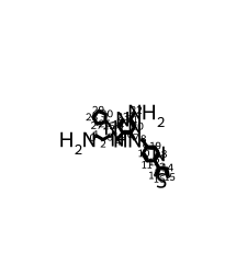 NCCc1nc2c(NCc3ccc(-c4ccsc4)nc3)nc(N)nc2n1C1CCCC1